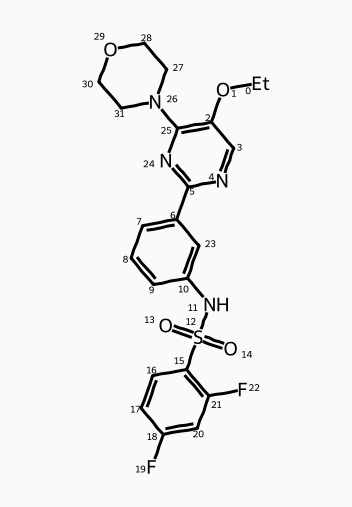 CCOc1cnc(-c2cccc(NS(=O)(=O)c3ccc(F)cc3F)c2)nc1N1CCOCC1